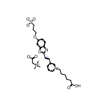 C[N+](C)(C)CC(=O)[O-].O=C(O)CCCCC[n+]1cccc(/C=C/c2nc3ccc(OCCCS(=O)(=O)[O-])cc3o2)c1